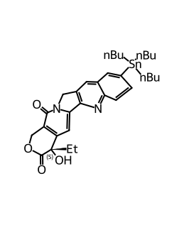 CCC[CH2][Sn]([CH2]CCC)([CH2]CCC)[c]1ccc2nc3c(cc2c1)Cn1c-3cc2c(c1=O)COC(=O)[C@]2(O)CC